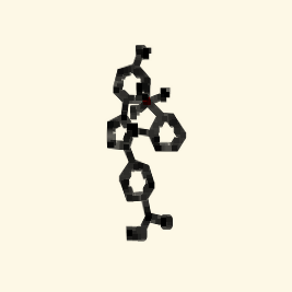 O=C(O)c1ccc(-c2ccc(-c3ccc(Br)cc3)n2-c2ccccc2C(F)(F)F)cc1